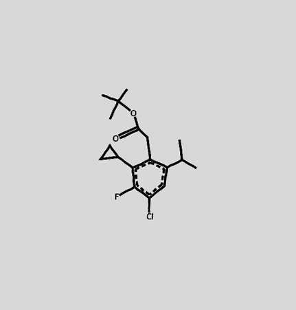 CC(C)c1cc(Cl)c(F)c(C2CC2)c1CC(=O)OC(C)(C)C